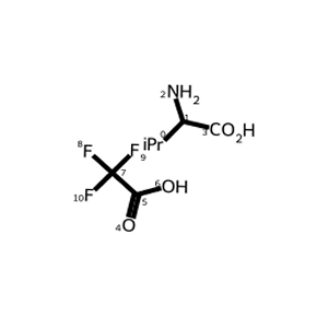 CC(C)C(N)C(=O)O.O=C(O)C(F)(F)F